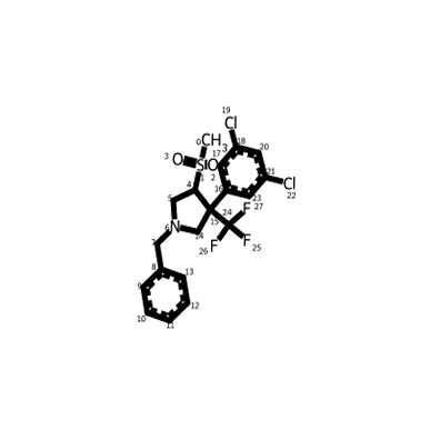 CS(=O)(=O)C1CN(Cc2ccccc2)CC1(c1cc(Cl)cc(Cl)c1)C(F)(F)F